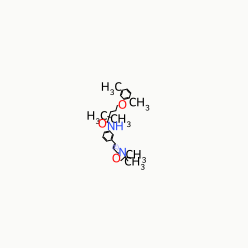 Cc1ccc(C)c(OCCCC(C)(C)C(=O)Nc2cccc(/C=C/C3=NC(C)(C)CO3)c2)c1